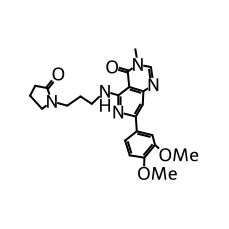 COc1ccc(-c2cc3ncn(C)c(=O)c3c(NCCCN3CCCC3=O)n2)cc1OC